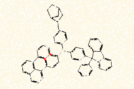 c1ccc(-c2cccc3cccc(-c4ccc(N(c5ccc(C6CC7CCC6C7)cc5)c5ccc(C6(c7ccccc7)c7ccccc7-c7ccccc76)cc5)cc4)c23)cc1